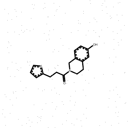 O=C(CCc1cccs1)N1CCc2cc(O)ccc2C1